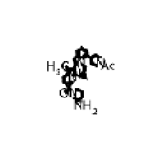 CC(=O)N1CCC(c2cccc3cc(-c4nn5cc(C(=O)N6CCC[C@@H](N)C6)ccc5c4C)n(CC4CC4)c23)CC1